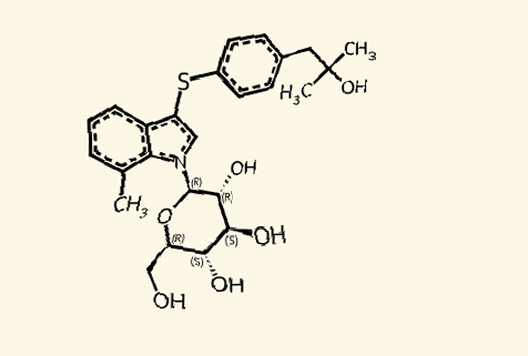 Cc1cccc2c(Sc3ccc(CC(C)(C)O)cc3)cn([C@@H]3O[C@H](CO)[C@@H](O)[C@H](O)[C@H]3O)c12